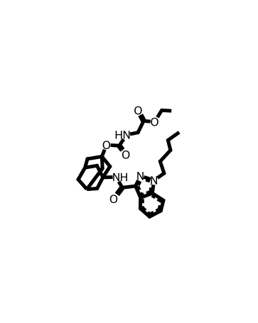 CCCCCn1nc(C(=O)NC23CC4CC(C2)CC(OC(=O)NCC(=O)OCC)(C4)C3)c2ccccc21